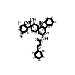 CN(C)C1(c2cccc(F)c2)CCC2(CC1)CC(NC(=O)/C=C/c1ccccc1)Cc1c2[nH]c2ccccc12